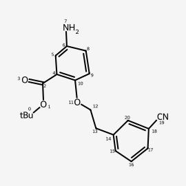 CC(C)(C)OC(=O)c1cc(N)ccc1OCCc1cccc(C#N)c1